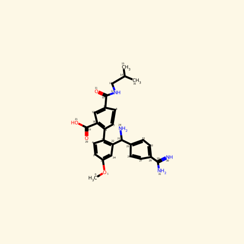 COc1ccc(-c2ccc(C(=O)NCC(C)C)cc2C(=O)O)c(C(N)c2ccc(C(=N)N)cc2)c1